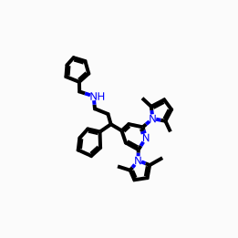 Cc1ccc(C)n1-c1cc(C(CCNCc2ccccc2)c2ccccc2)cc(-n2c(C)ccc2C)n1